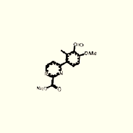 COC(=O)c1nccc(-c2ccc(OC)c(C=O)c2C)n1